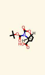 CC(C)(C)OC(=O)N1C(=O)O[C@@H]2CCC(C(=O)O)[C@@H]21